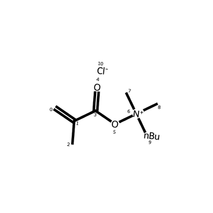 C=C(C)C(=O)O[N+](C)(C)CCCC.[Cl-]